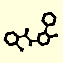 O=C(Nc1ccc(=O)n(-c2ccccc2)c1)c1ccccc1Br